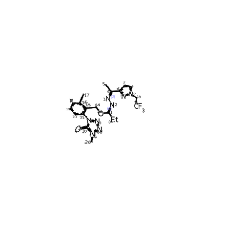 CC/C(=N/N=C(/C)c1ccn(CC(F)(F)F)n1)OCc1c(C)cccc1-n1nnn(C)c1=O